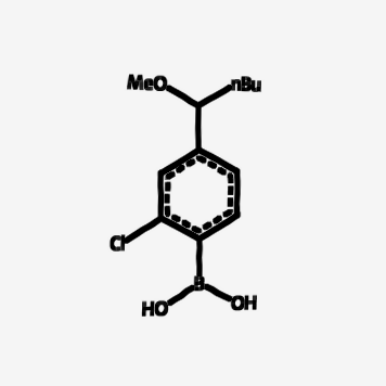 CCCCC(OC)c1ccc(B(O)O)c(Cl)c1